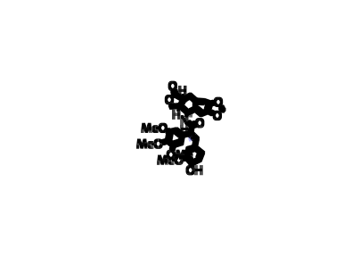 COc1cc(/C=C(/C(=O)N[C@@H]2c3cc4c(cc3C[C@H]3C(=O)OC[C@H]23)OCO4)c2cc(OC)c(OC)c(OC)c2)ccc1O